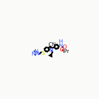 CC(C)OC(=O)Nc1ccc(-c2c(C#N)c3ccc(SCCn4cncn4)cc3n2CC2CC2)cc1